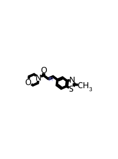 Cc1nc2cc(/C=C/C(=O)N3CCOCC3)ccc2s1